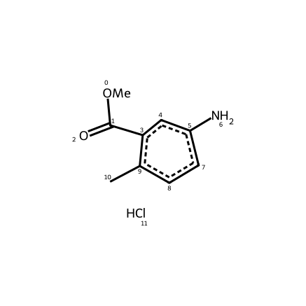 COC(=O)c1cc(N)ccc1C.Cl